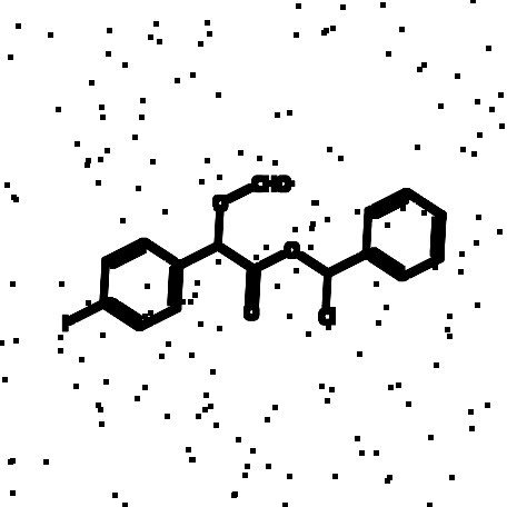 O=[C]OC(C(=O)OC(Cl)c1ccccc1)c1ccc(I)cc1